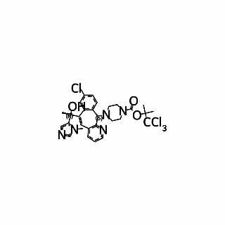 Cn1cncc1[C@](C)(O)C1=Cc2cccnc2[C@@H](N2CCN(C(=O)OC(C)(C)C(Cl)(Cl)Cl)CC2)c2ccc(Cl)cc21